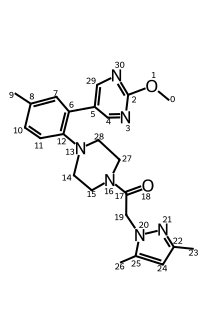 COc1ncc(-c2cc(C)ccc2N2CCN(C(=O)Cn3nc(C)cc3C)CC2)cn1